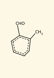 Cc1c[c]ccc1[C]=O